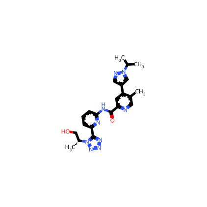 Cc1cnc(C(=O)Nc2cccc(-c3nnnn3[C@H](C)CO)n2)cc1-c1cnn(C(C)C)c1